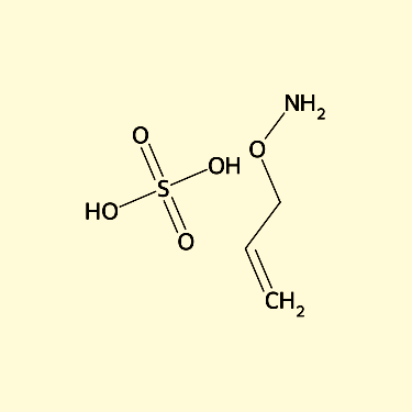 C=CCON.O=S(=O)(O)O